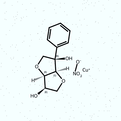 O=[N+]([O-])[O-].O[C@@H]1CO[C@H]2[C@@H]1OC[C@]2(O)c1ccccc1.[Cu+]